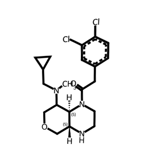 CN(CC1CC1)C1COC[C@H]2NCCN(C(=O)Cc3ccc(Cl)c(Cl)c3)[C@H]12